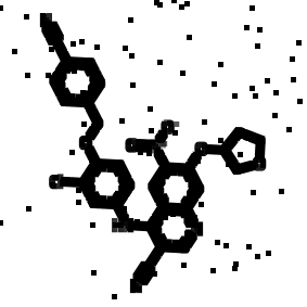 N#Cc1ccc(COc2ccc(Nc3c(C#N)cnc4cc(OC5CCOC5)c([N+](=O)[O-])cc34)cc2Cl)cc1